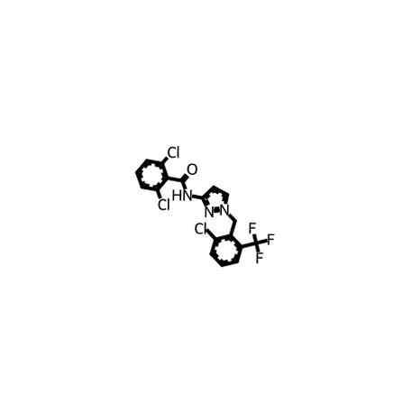 O=C(Nc1ccn(Cc2c(Cl)cccc2C(F)(F)F)n1)c1c(Cl)cccc1Cl